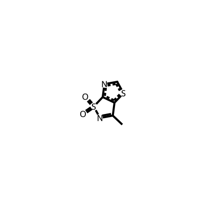 CC1=NS(=O)(=O)c2ncsc21